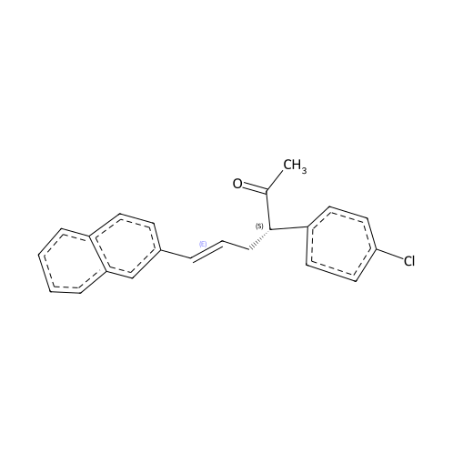 CC(=O)[C@@H](C/C=C/c1ccc2ccccc2c1)c1ccc(Cl)cc1